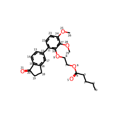 CCCCC(=O)OCCOc1c(-c2ccc3c(c2)CCC3=O)ccc(OC)c1OC